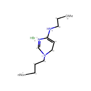 Br.CCCCCCCCCCCCN1C=NC(NCCOC)=CC1